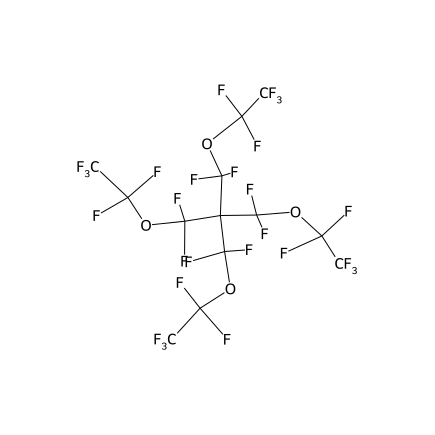 FC(F)(F)C(F)(F)OC(F)(F)C(C(F)(F)OC(F)(F)C(F)(F)F)(C(F)(F)OC(F)(F)C(F)(F)F)C(F)(F)OC(F)(F)C(F)(F)F